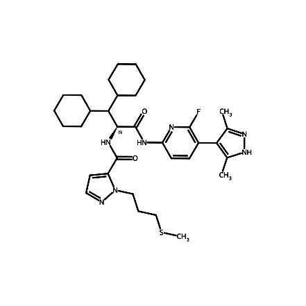 CSCCCn1nccc1C(=O)N[C@H](C(=O)Nc1ccc(-c2c(C)n[nH]c2C)c(F)n1)C(C1CCCCC1)C1CCCCC1